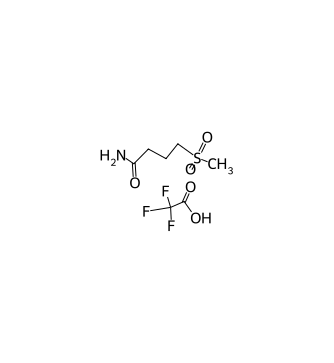 CS(=O)(=O)CCCC(N)=O.O=C(O)C(F)(F)F